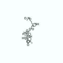 C[C@]12C=CC(=O)C=C1CC[C@@H]1[C@@H]2C(O)C[C@@]2(C)[C@H]1CC[C@]2(O)C(=O)COC(=O)CN1CCNCC1CCCO[N+](=O)[O-]